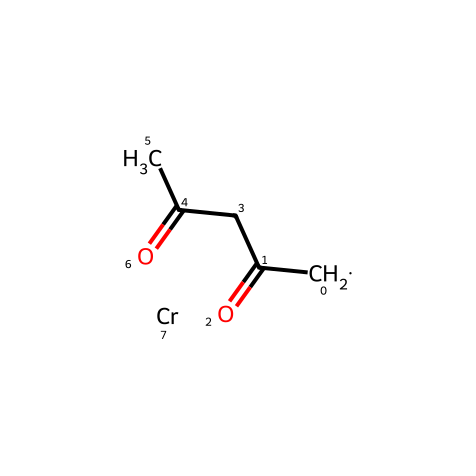 [CH2]C(=O)CC(C)=O.[Cr]